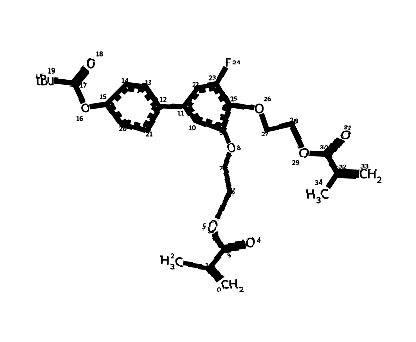 C=C(C)C(=O)OCCOc1cc(-c2ccc(OC(=O)C(C)(C)C)cc2)cc(F)c1OCCOC(=O)C(=C)C